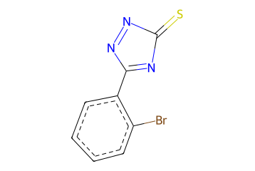 S=C1N=NC(c2ccccc2Br)=N1